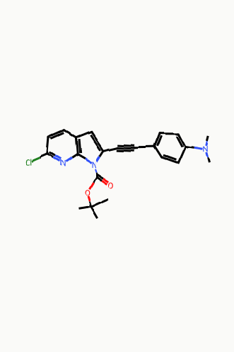 CN(C)c1ccc(C#Cc2cc3ccc(Cl)nc3n2C(=O)OC(C)(C)C)cc1